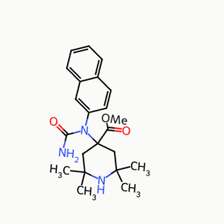 COC(=O)C1(N(C(N)=O)c2ccc3ccccc3c2)CC(C)(C)NC(C)(C)C1